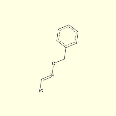 CC/C=N/OCc1ccccc1